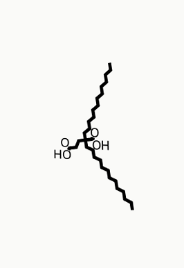 CCCCCCCCCCCCCC(CCCCCCCCCCCCC)(CCC(=O)O)C(=O)O